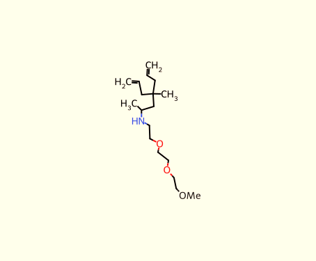 C=CCC(C)(CC=C)CC(C)NCCOCCOCCOC